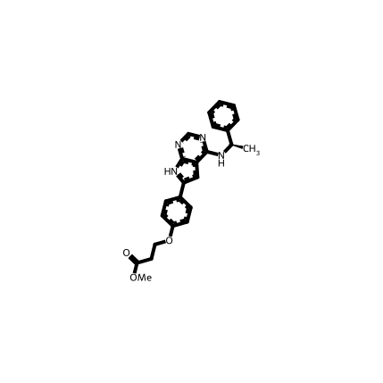 COC(=O)CCOc1ccc(-c2cc3c(N[C@H](C)c4ccccc4)ncnc3[nH]2)cc1